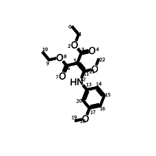 CCOC(=O)C(C(=O)OCC)=C(Nc1cccc(OC)c1)OC